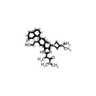 CC(C(=O)N(C)C)c1nc2c(N3CC(N(C)C)C3)nc3cc(-c4cccc5ccc(F)cc45)c(CCC#N)cc3c2[nH]1